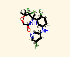 CC1(C)OCC(=O)NC(C)(c2cc(Nc3cncc(F)c3)ccc2F)C1(F)F